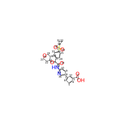 O=C(O)c1cccc(-c2ccc(NC(=O)C(OC3CCOCC3)c3ccc(S(=O)(=O)C4CC4)cc3)nc2)c1